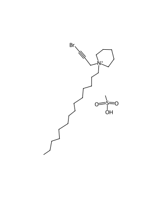 CCCCCCCCCCCCCC[N+]1(CC#CBr)CCCCC1.CS(=O)(=O)O